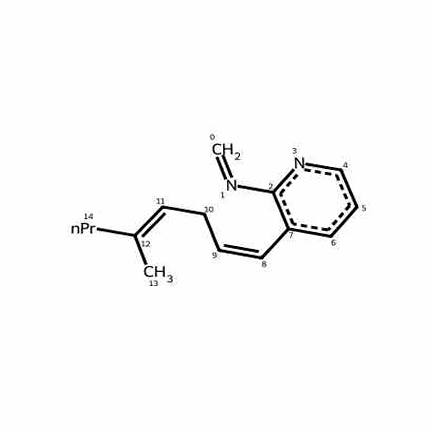 C=Nc1ncccc1/C=C\C/C=C(\C)CCC